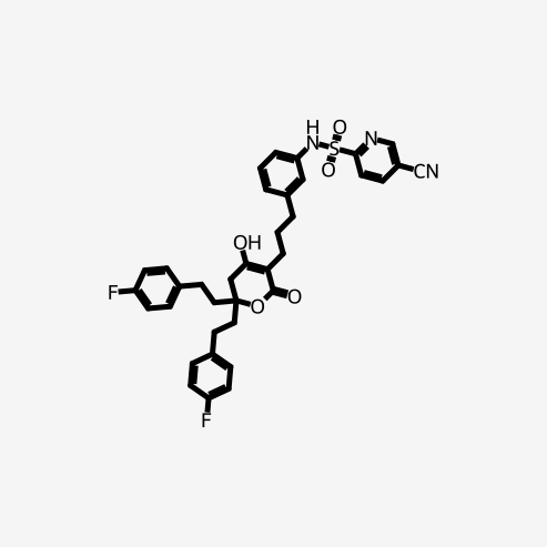 N#Cc1ccc(S(=O)(=O)Nc2cccc(CCCC3=C(O)CC(CCc4ccc(F)cc4)(CCc4ccc(F)cc4)OC3=O)c2)nc1